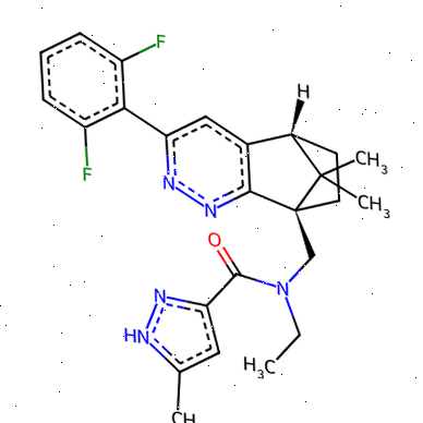 CCN(C[C@@]12CC[C@@H](c3cc(-c4c(F)cccc4F)nnc31)C2(C)C)C(=O)c1cc(C)[nH]n1